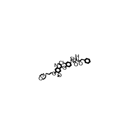 COc1cc2c(Oc3ccc(N(S)C(=O)NC(=O)Cc4ccccc4)cc3Cl)ccnc2cc1OCCCN1CCOCC1